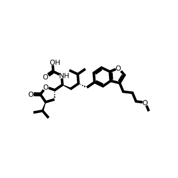 COCCCc1coc2ccc(C[C@H](C[C@H](NC(=O)O)[C@@H]3C[C@@H](C(C)C)C(=O)O3)C(C)C)cc12